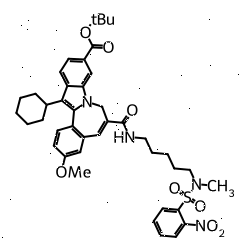 COc1ccc2c(c1)C=C(C(=O)NCCCCCN(C)S(=O)(=O)c1ccccc1[N+](=O)[O-])Cn1c-2c(C2CCCCC2)c2ccc(C(=O)OC(C)(C)C)cc21